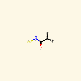 CCC(C)C(=O)NS